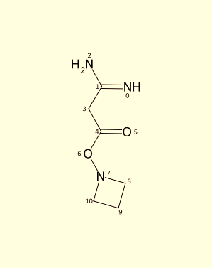 N=C(N)CC(=O)ON1CCC1